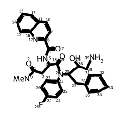 CNC(=O)CC(NC(=O)c1ccc2ccccc2n1)C(=O)N(c1ccc(F)cc1)C(Cc1ccccc1)C(O)CN